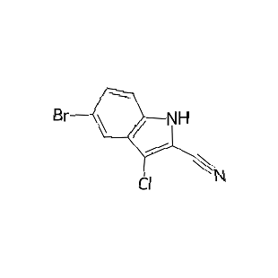 N#Cc1[nH]c2ccc(Br)cc2c1Cl